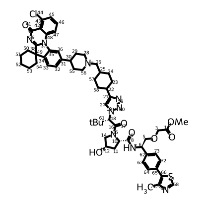 COC(=O)COC[C@H](NC(=O)[C@@H]1C[C@@H](O)CN1C(=O)[C@@H](n1cc(C2CCC(CN3CCC(c4ccc5c(c4)-n4c(nc(=O)c6c(Cl)cccc64)C54CCCCC4)CC3)CC2)nn1)C(C)(C)C)c1ccc(-c2scnc2C)cc1